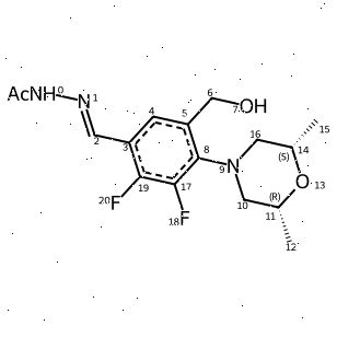 CC(=O)NN=Cc1cc(CO)c(N2C[C@@H](C)O[C@@H](C)C2)c(F)c1F